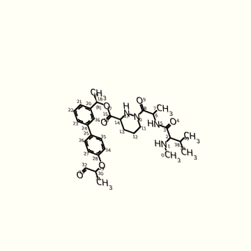 CNC(C(=O)NC(C)C(=O)N1CCCC(C(=O)O[C@H](C)c2cccc(-c3ccc(OC(C)C=O)cc3)c2)N1)C(C)C